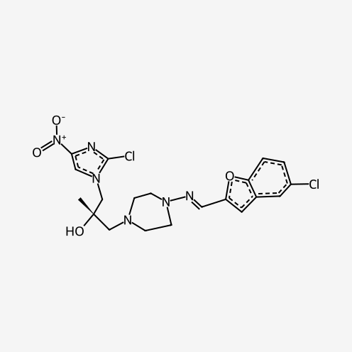 C[C@](O)(CN1CCN(N=Cc2cc3cc(Cl)ccc3o2)CC1)Cn1cc([N+](=O)[O-])nc1Cl